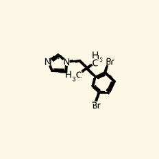 CC(C)(Cn1ccnc1)c1cc(Br)ccc1Br